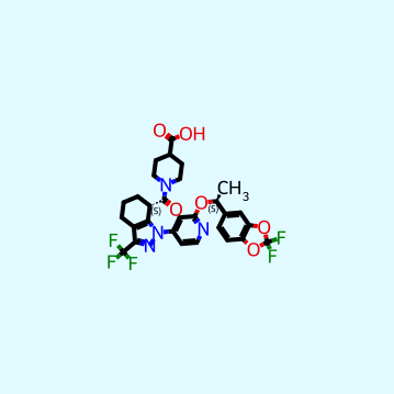 C[C@H](Oc1cc(-n2nc(C(F)(F)F)c3c2[C@@H](C(=O)N2CCC(C(=O)O)CC2)CCC3)ccn1)c1ccc2c(c1)OC(F)(F)O2